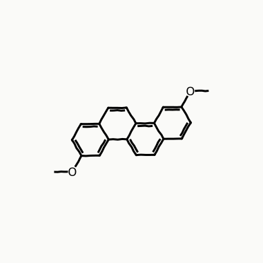 COc1ccc2ccc3c4cc(OC)ccc4ccc3c2c1